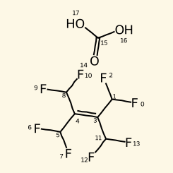 FC(F)C(=C(C(F)F)C(F)F)C(F)F.O=C(O)O